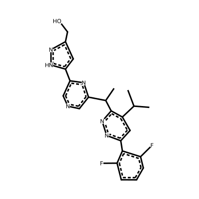 CC(C)c1cc(-c2c(F)cccc2F)nnc1C(C)c1cncc(-c2cc(CO)n[nH]2)n1